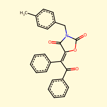 Cc1ccc(CN2C(=O)OC(=C(C(=O)c3ccccc3)c3ccccc3)C2=O)cc1